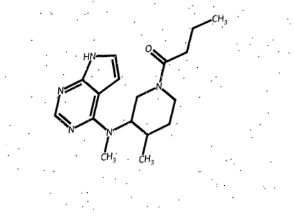 C[CH]CC(=O)N1CCC(C)C(N(C)c2ncnc3[nH]ccc23)C1